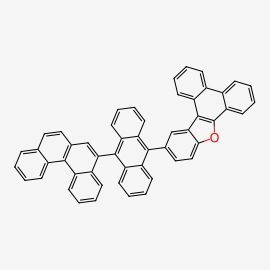 c1ccc2c(c1)ccc1cc(-c3c4ccccc4c(-c4ccc5oc6c7ccccc7c7ccccc7c6c5c4)c4ccccc34)c3ccccc3c12